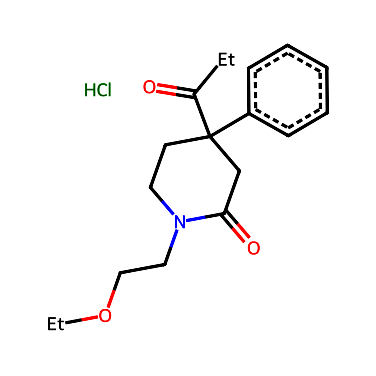 CCOCCN1CCC(C(=O)CC)(c2ccccc2)CC1=O.Cl